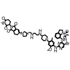 COc1cc(N2CCC(NCCNC[C@H]3CCN(C4=CC5=C(CC4)C(=O)N(C4CCC(=O)NC4=O)C5=O)C3)CC2)c(C)cc1Nc1ncc(Br)c(Nc2cccc3c2N(S(C)(=O)=O)CC3)n1